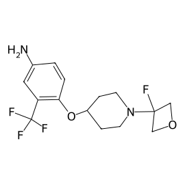 Nc1ccc(OC2CCN(C3(F)COC3)CC2)c(C(F)(F)F)c1